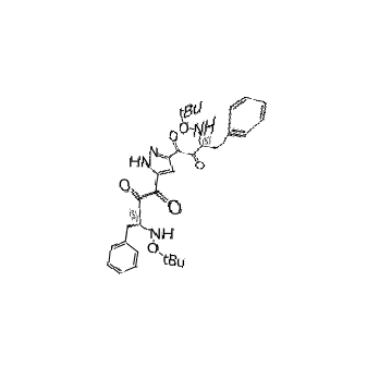 CC(C)(C)ON[C@@H](Cc1ccccc1)C(=O)C(=O)c1cc(C(=O)C(=O)[C@H](Cc2ccccc2)NOC(C)(C)C)[nH]n1